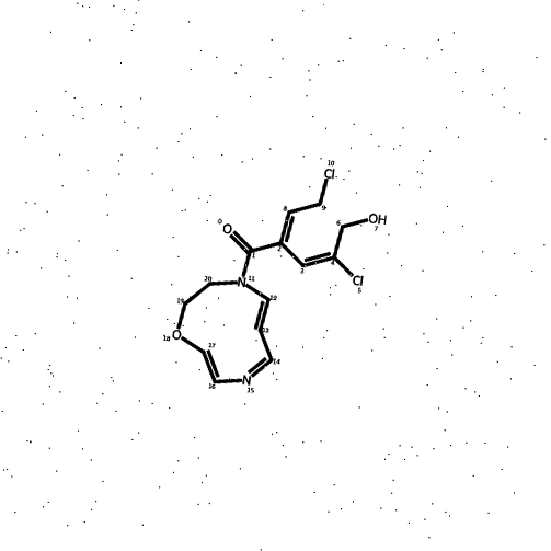 O=C(C(/C=C(/Cl)CO)=C/CCl)N1/C=C/C=N\C=C\OCC1